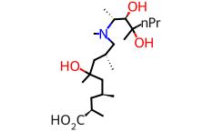 CCCC(C)(O)[C@H](O)[C@@H](C)N(C)C[C@H](C)CC(C)(O)C[C@@H](C)C[C@@H](C)C(=O)O